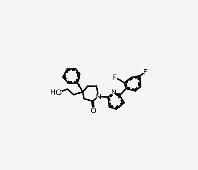 O=C1CC(CCO)(c2ccccc2)CCN1c1cccc(-c2ccc(F)cc2F)n1